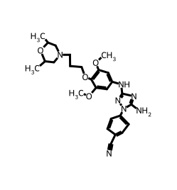 COc1cc(Nc2nc(N)n(-c3ccc(C#N)cc3)n2)cc(OC)c1OCCCN1CC(C)OC(C)C1